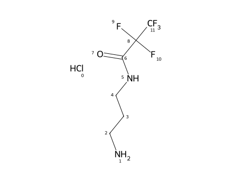 Cl.NCCCNC(=O)C(F)(F)C(F)(F)F